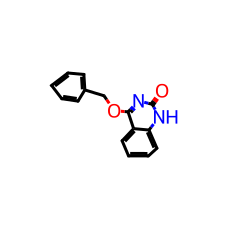 O=c1nc(OCc2ccccc2)c2ccccc2[nH]1